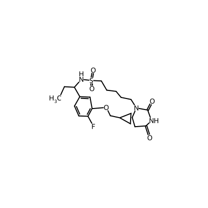 CCC(NS(=O)(=O)CCCCCN1CCC(=O)NC1=O)c1ccc(F)c(OCC2CC2)c1